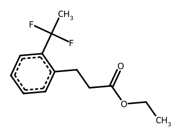 CCOC(=O)CCc1ccccc1C(C)(F)F